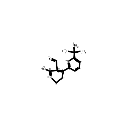 CC(C)(N)c1cccc(C2=C(C=O)C(O)=NCC2)n1